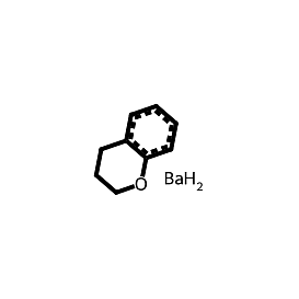 [BaH2].c1ccc2c(c1)CCCO2